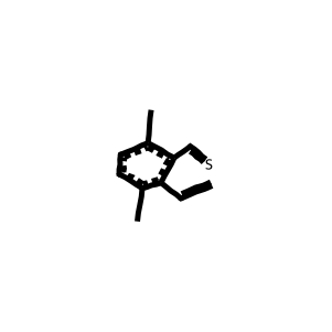 C=Cc1c(C)ccc(C)c1C=S